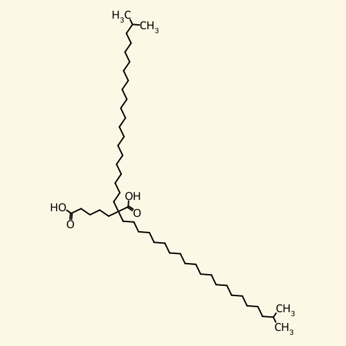 CC(C)CCCCCCCCCCCCCCCCCCCC(CCCCCCCCCCCCCCCCCCCC(C)C)(CCCCC(=O)O)C(=O)O